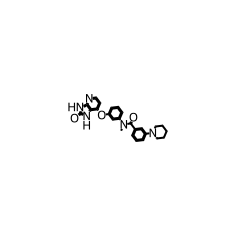 CN(C(=O)c1cccc(N2CCCCC2)c1)c1cccc(Oc2ccnc3[nH]c(=O)[nH]c23)c1